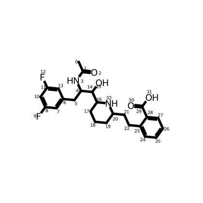 CC(=O)NC(Cc1cc(F)cc(F)c1)C(O)C1CCCC(CCc2ccccc2C(=O)O)N1